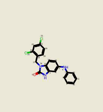 O=c1[nH]c2cc(Nc3ccccc3)ccc2n1Cc1ccc(Cl)cc1Cl